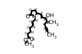 CC#CC[C@H](C)[C@H](O)C=CC1CCC(=O)N1CC=CCCCC(=O)OC